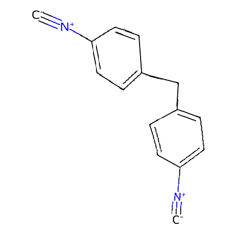 [C-]#[N+]c1ccc(Cc2ccc([N+]#[C-])cc2)cc1